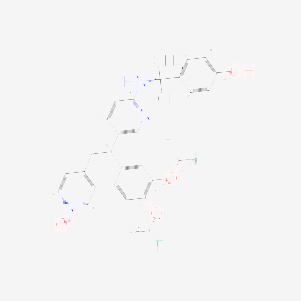 CC(C)(Nc1ccc(C(Cc2cc[n+]([O-])cc2)c2ccc(OC(F)F)c(OC(F)F)c2)cn1)c1ccc(O)cc1